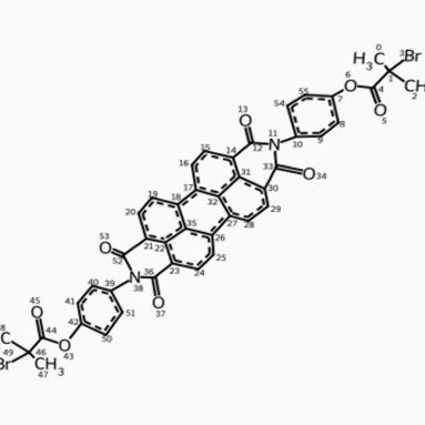 CC(C)(Br)C(=O)Oc1ccc(N2C(=O)c3ccc4c5ccc6c7c(ccc(c8ccc(c3c48)C2=O)c75)C(=O)N(c2ccc(OC(=O)C(C)(C)Br)cc2)C6=O)cc1